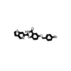 O=c1[nH]c(-c2cc3sccc3cn2)nc2ccc(OCc3ccc(Br)cc3)cc12